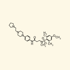 COc1cc(C)c(S(=O)(=O)N(C)CCC(=O)Nc2ccc(N3CCN(CCN4CCCC4)CC3)cc2)c(C)c1